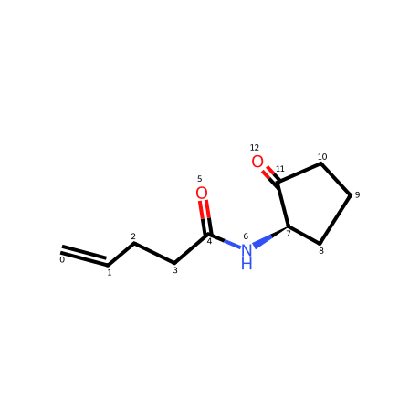 C=CCCC(=O)N[C@@H]1CCCC1=O